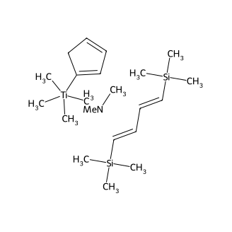 CNC.C[Si](C)(C)C=CC=C[Si](C)(C)C.[CH3][Ti]([CH3])([CH3])([CH3])[C]1=CC=CC1